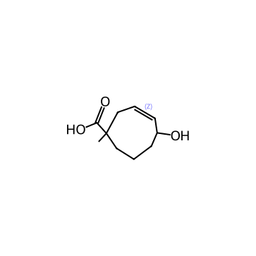 CC1(C(=O)O)C/C=C\C(O)CCC1